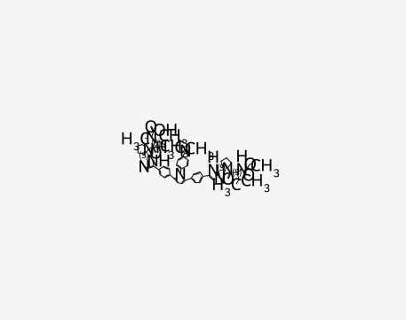 COC(=O)N[C@H](C(=O)N1CCC[C@H]1c1ncc(-c2ccc(-c3ccc(-c4ccc(-c5cnc([C@@H]6CCCN6C(=O)[C@H](C(C)C)N(C)C(=O)O)[nH]5)cc4)n3-c3ccc(N(C)C)cc3)cc2)[nH]1)C(C)C